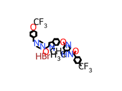 Br.Cc1cc(Oc2ccc3cc(C(=O)N4CCN(Cc5ccc(OCC(F)(F)F)cc5)CC4)n(C)c3c2)ncc1NC(=O)c1ccc(C(F)(F)F)cc1